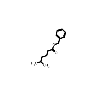 CC(C)CCCC(=O)OCc1ccccc1